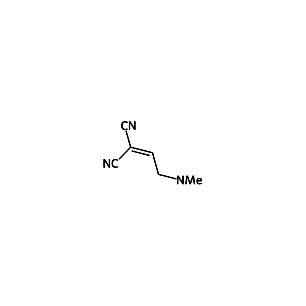 CNCC=C(C#N)C#N